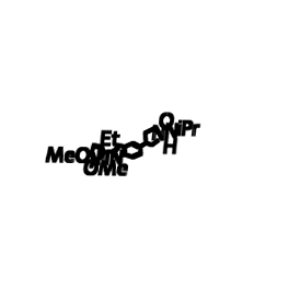 CCc1c(-c2ccc(OC)c(OC)c2)[nH]c2ccc(C3CCN(C(=O)NC(C)C)CC3)cc12